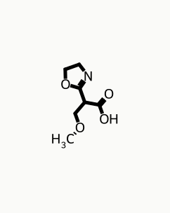 COCC(C(=O)O)C1=NCCO1